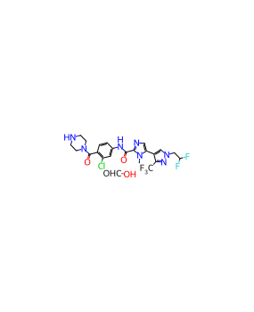 Cn1c(-c2cn(CC(F)F)nc2C(F)(F)F)cnc1C(=O)Nc1ccc(C(=O)N2CCNCC2)c(Cl)c1.O=CO